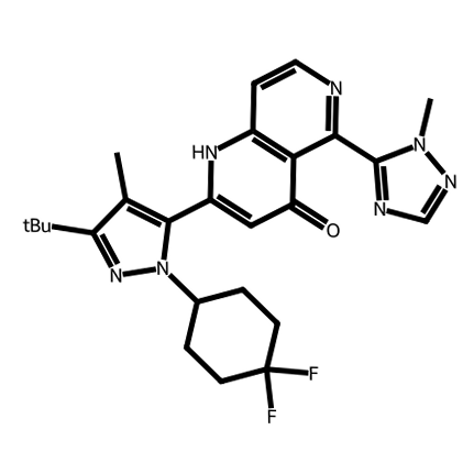 Cc1c(C(C)(C)C)nn(C2CCC(F)(F)CC2)c1-c1cc(=O)c2c(-c3ncnn3C)nccc2[nH]1